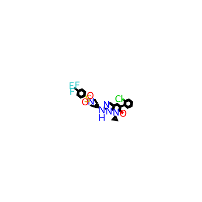 O=c1c(-c2ccccc2Cl)cc2cnc(NC3C4CN(S(=O)(=O)c5ccc(C(F)(F)F)cc5)CC43)nc2n1C1CC1